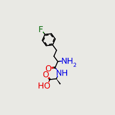 C[C@H](NC(=O)C(N)CCc1ccc(F)cc1)C(=O)O